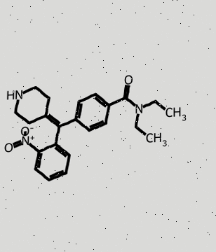 CCN(CC)C(=O)c1ccc(C(=C2CCNCC2)c2ccccc2[N+](=O)[O-])cc1